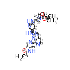 C=CC(=O)Nc1ccnc(-c2nccc3cnc(Nc4ccc(NC5CN(C(=O)OC(C)(C)C)C5)nc4)nc23)c1